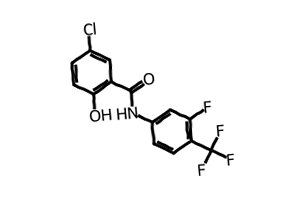 O=C(Nc1ccc(C(F)(F)F)c(F)c1)c1cc(Cl)ccc1O